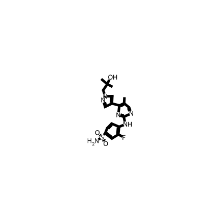 Cc1cnc(Nc2ccc(S(N)(=O)=O)cc2F)nc1-c1cnn(CC(C)(C)O)c1